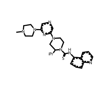 CC(C)C1CN(c2cncc(N3CCN(C)CC3)n2)CCN1C(=S)Nc1cccc2ncccc12